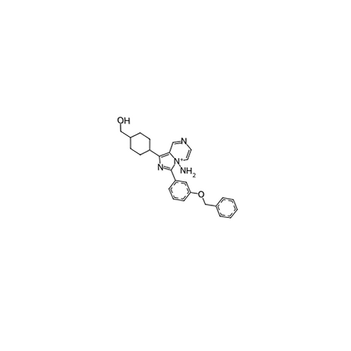 N[N+]12C=CN=CC1=C(C1CCC(CO)CC1)N=C2c1cccc(OCc2ccccc2)c1